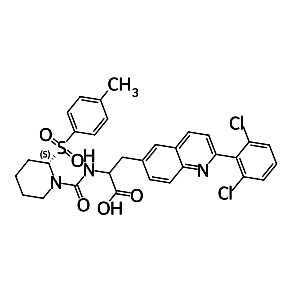 Cc1ccc(S(=O)(=O)[C@H]2CCCCN2C(=O)NC(Cc2ccc3nc(-c4c(Cl)cccc4Cl)ccc3c2)C(=O)O)cc1